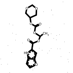 CC(OC(=O)OC1COCOC1)OC(=O)c1cc2occc2[nH]1